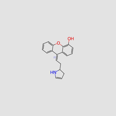 Oc1cccc2c1Oc1ccccc1/C2=C/CC1CC=CN1